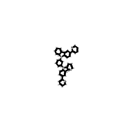 c1ccc(-c2ccc3c(c2)c2ccccc2n3-c2cccc(-n3c4ccc(-c5ccccn5)cc4c4ncccc43)c2)nc1